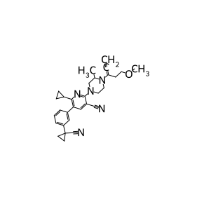 C=C=C(CCOC)N1CCN(c2nc(C3CC3)c(-c3cccc(C4(C#N)CC4)c3)cc2C#N)CC1C